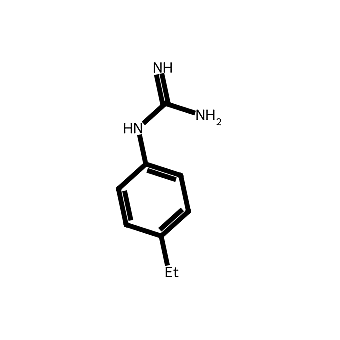 CCc1ccc(NC(=N)N)cc1